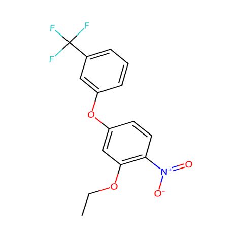 CCOc1cc(Oc2cccc(C(F)(F)F)c2)ccc1[N+](=O)[O-]